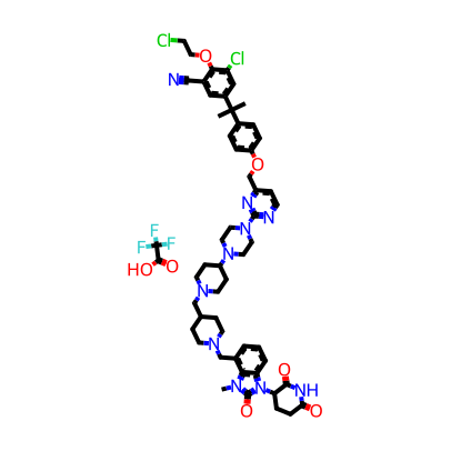 Cn1c(=O)n(C2CCC(=O)NC2=O)c2cccc(CN3CCC(CN4CCC(N5CCN(c6nccc(COc7ccc(C(C)(C)c8cc(Cl)c(OCCCl)c(C#N)c8)cc7)n6)CC5)CC4)CC3)c21.O=C(O)C(F)(F)F